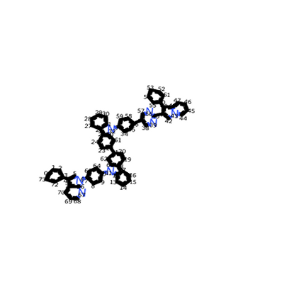 c1ccc(-c2cn(-c3ccc(-n4c5ccccc5c5ccc(-c6ccc7c8ccccc8n(-c8ccc(-c9cnc(-c%10cn%11ccccc%11c%10-c%10ccccc%10)nc9)cc8)c7c6)cc54)cc3)c3ncccc23)cc1